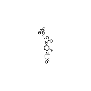 CS(=O)(=O)OC[C@H]1CN(c2ccc(N3CCC4(CC3)CO4)c(F)c2)C(=O)O1